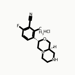 Cc1c([C@H]2CN3CCNC[C@@H]3CO2)ccc(F)c1C#N.Cl